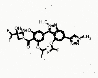 COc1cc(-c2c3c(OC(F)F)cc(-c4cn(C)nn4)cc3nn2C)cc(OC(F)F)c1C(=O)N1CC(O)(C(F)F)C1